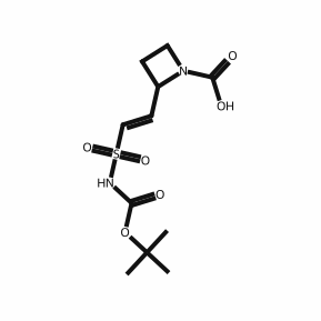 CC(C)(C)OC(=O)NS(=O)(=O)C=CC1CCN1C(=O)O